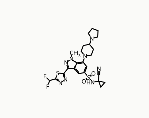 Cn1nc(-c2nnc(C(F)F)s2)c2cc(S(=O)(=O)NC3(C#N)CC3)cc(N3CCC(N4CCCC4)CC3)c21